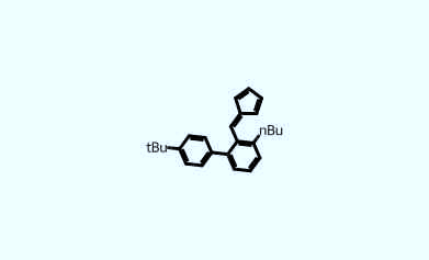 CCCCc1cccc(-c2ccc(C(C)(C)C)cc2)c1C=C1C=CC=C1